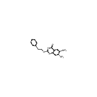 Nc1cc2nc(OCCc3ccccc3)oc(=O)c2cc1N